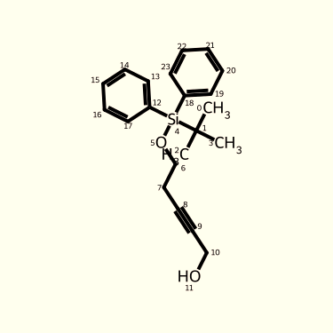 CC(C)(C)[Si](OCCC#CCO)(c1ccccc1)c1ccccc1